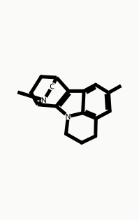 Cc1cc2c3c(c1)c1c(n3CCC2)C2CCC1CN2C